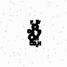 O=C(O)N1CCN2C(=O)c3cc(F)c(Br)cc3OCC[C@H]2C1